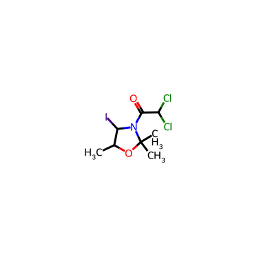 CC1OC(C)(C)N(C(=O)C(Cl)Cl)C1I